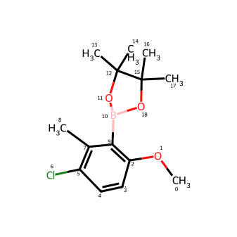 COc1[c]cc(Cl)c(C)c1B1OC(C)(C)C(C)(C)O1